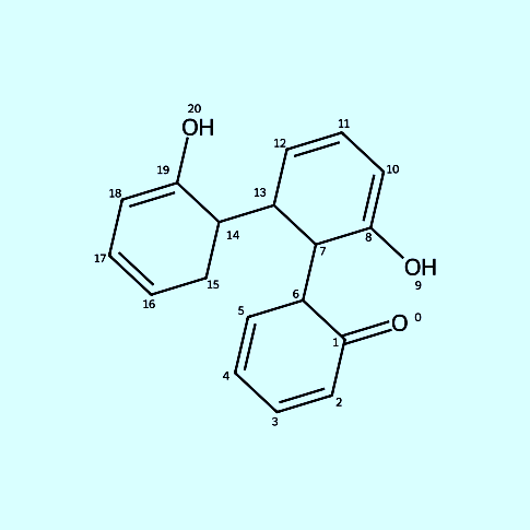 O=C1C=CC=CC1C1C(O)=CC=CC1C1CC=CC=C1O